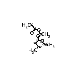 C=CC(=O)OC(C)OC(CCC)OCC